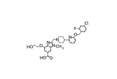 Cn1c(CN2CCC(c3cccc(OCc4ccc(Cl)cc4F)n3)CC2)nc2c(OCCO)cc(C(=O)O)cc21